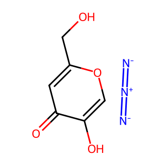 O=c1cc(CO)occ1O.[N-]=[N+]=[N-]